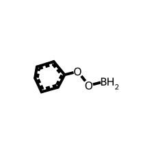 BOOc1ccccc1